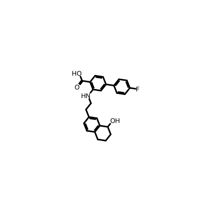 O=C(O)c1ccc(-c2ccc(F)cc2)cc1NCCc1ccc2c(c1)C(O)CCC2